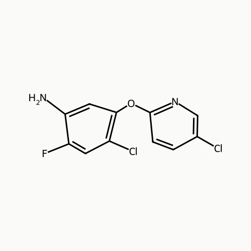 Nc1cc(Oc2ccc(Cl)cn2)c(Cl)cc1F